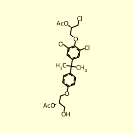 CC(=O)O[C@@H](CO)COc1ccc(C(C)(C)c2cc(Cl)c(OC[C@H](CCl)OC(C)=O)c(Cl)c2)cc1